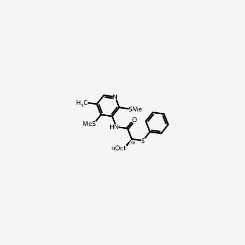 CCCCCCCC[C@H](Sc1ccccc1)C(=O)Nc1c(SC)ncc(C)c1SC